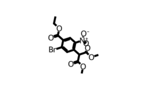 CCOC(=O)c1cc([N+](=O)[O-])c(C(C(=O)OC)C(=O)OC)cc1Br